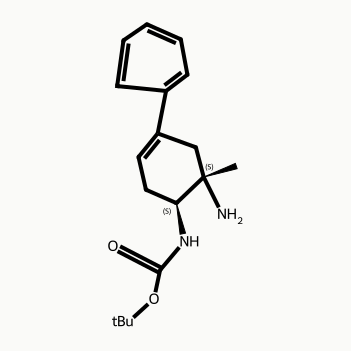 CC(C)(C)OC(=O)N[C@H]1CC=C(c2ccccc2)C[C@]1(C)N